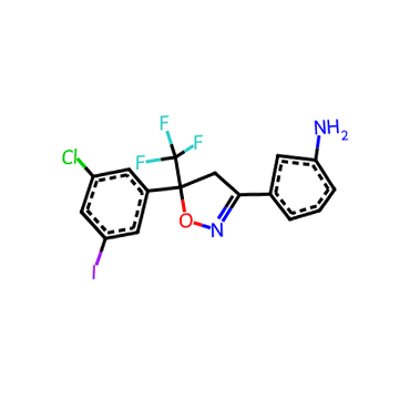 Nc1cccc(C2=NOC(c3cc(Cl)cc(I)c3)(C(F)(F)F)C2)c1